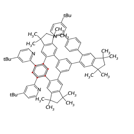 CC(C)(C)c1ccnc(-c2ccc(-c3cc4c(cc3-c3cc(-c5cc6c(cc5-c5ccc(-c7cc(C(C)(C)C)ccn7)cc5)C(C)(C)CC6(C)C)cc(-c5cc6c(cc5-c5ccc(-c7cc(C(C)(C)C)ccn7)cc5)C(C)(C)CC6(C)C)c3)C(C)(C)CC4(C)C)cc2)c1